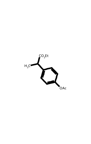 CCOC(=O)C(C)c1ccc(OC(C)=O)cc1